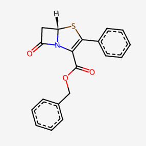 O=C(OCc1ccccc1)C1=C(c2ccccc2)S[C@H]2CC(=O)N12